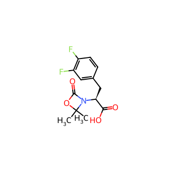 CC1(C)OC(=O)N1[C@@H](Cc1ccc(F)c(F)c1)C(=O)O